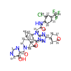 Cc1ncnc(C(=O)N2CCC3(c4c(n(CC(=O)Nc5ccc(C(F)(F)F)cc5Cl)c5nc(C6=CCOCC6)nn5c4=O)C4CC43)C3CC32)c1O